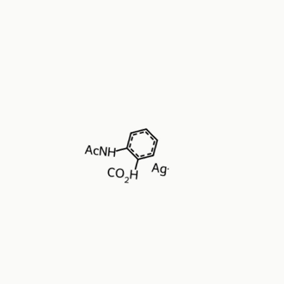 CC(=O)Nc1ccccc1C(=O)O.[Ag]